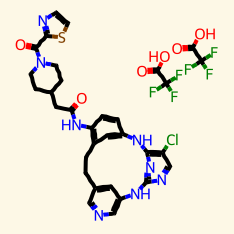 O=C(CC1CCN(C(=O)c2nccs2)CC1)Nc1ccc2cc1CCc1cncc(c1)Nc1ncc(Cl)c(n1)N2.O=C(O)C(F)(F)F.O=C(O)C(F)(F)F